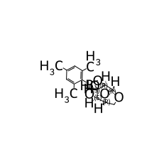 Cc1cc(C)c(B2O[C@H]3[C@@H]4OC[C@@H](O4)[C@@H](O2)[C@@H]3O)c(C)c1